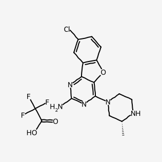 C[C@@H]1CN(c2nc(N)nc3c2oc2ccc(Cl)cc23)CCN1.O=C(O)C(F)(F)F